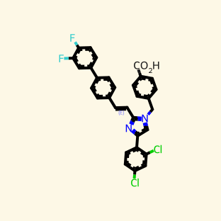 O=C(O)c1ccc(Cn2cc(-c3ccc(Cl)cc3Cl)nc2/C=C/c2ccc(-c3ccc(F)c(F)c3)cc2)cc1